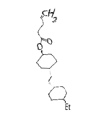 C=CCCC(=O)O[C@H]1CC[C@H](CC[C@H]2CC[C@H](CC)CC2)CC1